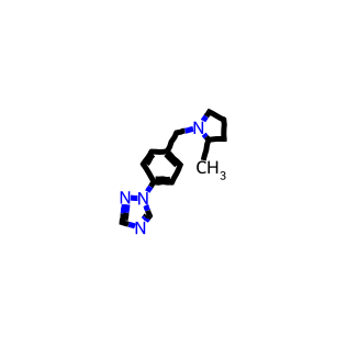 CC1CCCN1Cc1ccc(-n2cncn2)cc1